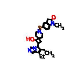 C=CC1=C(CC)c2cncn2C1C1CC2(CCN(Sc3ccc4c(c3)CC(=O)N4C)CC2)C1O